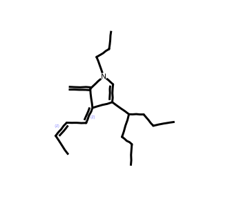 C=c1/c(=C\C=C/C)c(C(CCC)CCC)cn1CCC